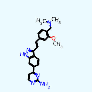 COc1cc(/C=C/c2n[nH]c3cc(-c4ccnc(N)n4)ccc23)ccc1CN(C)C